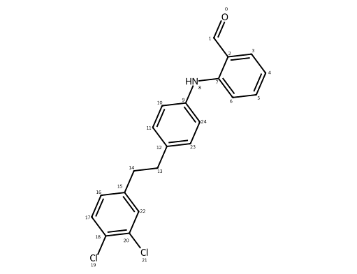 O=Cc1ccccc1Nc1ccc(CCc2ccc(Cl)c(Cl)c2)cc1